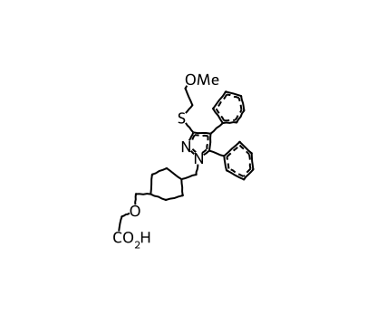 COCCSc1nn(CC2CCC(COCC(=O)O)CC2)c(-c2ccccc2)c1-c1ccccc1